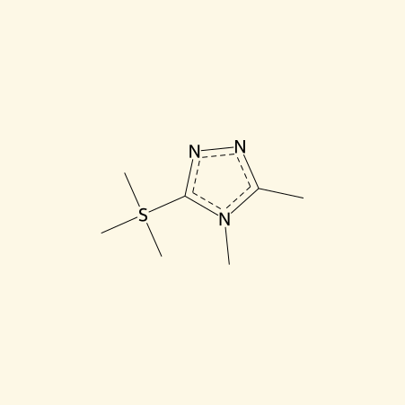 Cc1nnc(S(C)(C)C)n1C